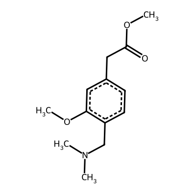 COC(=O)Cc1ccc(CN(C)C)c(OC)c1